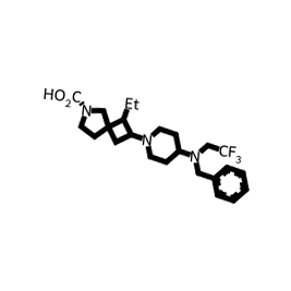 CCC1C(N2CCC(N(Cc3ccccc3)CC(F)(F)F)CC2)CC12CCN(C(=O)O)C2